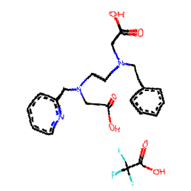 O=C(O)C(F)(F)F.O=C(O)CN(CCN(CC(=O)O)Cc1ccccn1)Cc1ccccc1